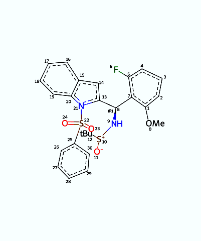 COc1cccc(F)c1[C@@H](N[S+]([O-])C(C)(C)C)c1cc2ccccc2n1S(=O)(=O)c1ccccc1